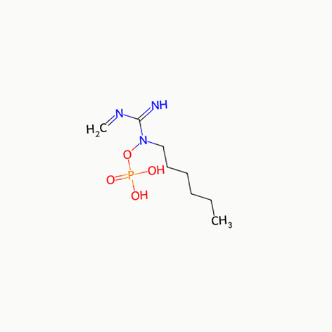 C=NC(=N)N(CCCCCC)OP(=O)(O)O